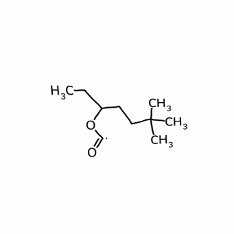 CCC(CCC(C)(C)C)O[C]=O